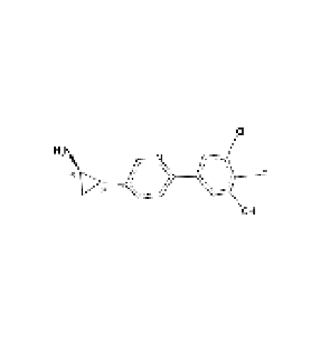 N[C@@H]1C[C@H]1c1ccc(-c2cc(O)c(F)c(Cl)c2)nc1